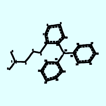 CN(C)CCCc1ccccc1P(c1ccccc1)c1ccccc1